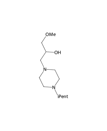 CCCC(C)N1CCN(CC(O)COC)CC1